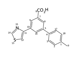 Cc1ccc(-c2cc(C(=O)O)cc(-c3cscn3)c2)cc1